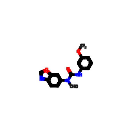 O=CN(C(=O)Nc1cccc(OC(F)(F)F)c1)c1ccc2ncoc2c1